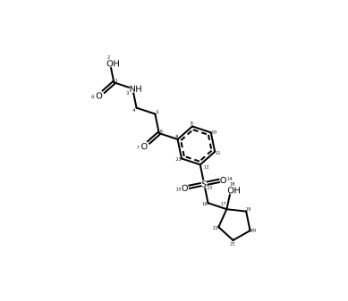 O=C(O)NCCC(=O)c1cccc(S(=O)(=O)CC2(O)CCCC2)c1